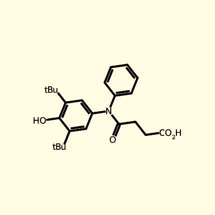 CC(C)(C)c1cc(N(C(=O)CCC(=O)O)c2ccccc2)cc(C(C)(C)C)c1O